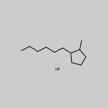 CCCCCCN1CCCC1C.F